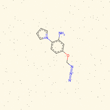 [N-]=[N+]=NCOc1ccc(-n2cccc2)c(N)c1